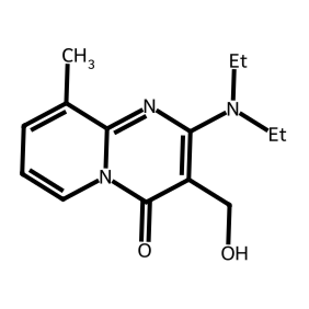 CCN(CC)c1nc2c(C)cccn2c(=O)c1CO